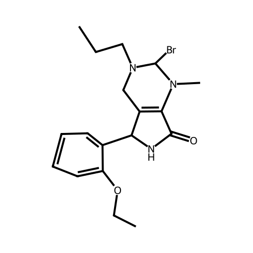 CCCN1CC2=C(C(=O)NC2c2ccccc2OCC)N(C)C1Br